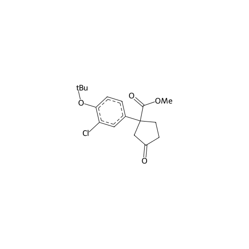 COC(=O)C1(c2ccc(OC(C)(C)C)c(Cl)c2)CCC(=O)C1